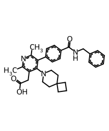 Cc1nc(C)c(-c2ccc(C(=O)NCc3ccccc3)cc2)c(N2CCC3(CCC3)CC2)c1CC(=O)O